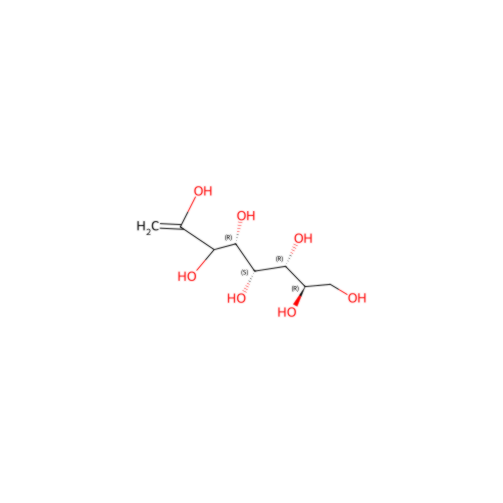 C=C(O)C(O)[C@H](O)[C@@H](O)[C@H](O)[C@H](O)CO